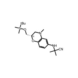 CN1C[C@@H](CO[Si](C)(C)C(C)(C)C)Oc2ccc(NC(C)(C)C#N)cc21